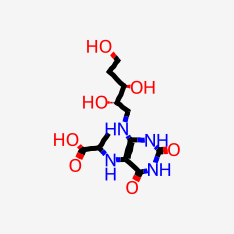 CC(Nc1c(NC[C@H](O)[C@H](O)CCO)[nH]c(=O)[nH]c1=O)C(=O)O